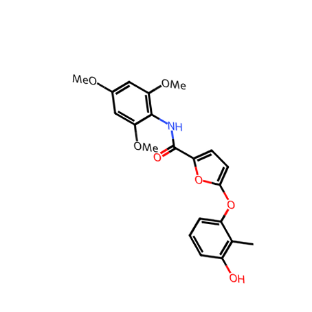 COc1cc(OC)c(NC(=O)c2ccc(Oc3cccc(O)c3C)o2)c(OC)c1